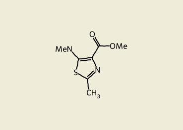 CNc1sc(C)nc1C(=O)OC